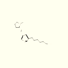 CN1CCC[C@H]1COc1cncc(CCCCCCO)c1